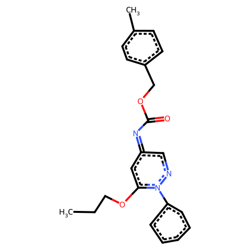 CCCOc1cc(=NC(=O)OCc2ccc(C)cc2)cnn1-c1ccccc1